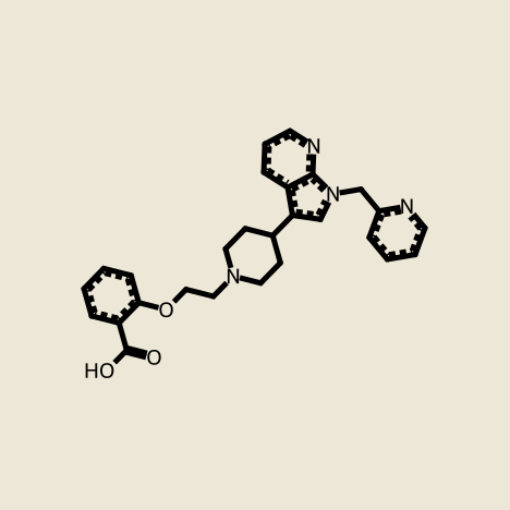 O=C(O)c1ccccc1OCCN1CCC(c2cn(Cc3ccccn3)c3ncccc23)CC1